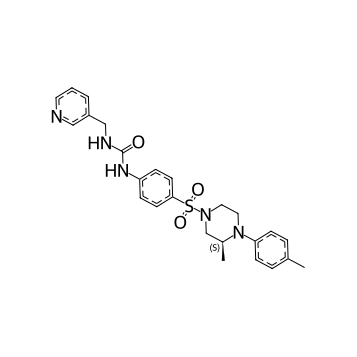 Cc1ccc(N2CCN(S(=O)(=O)c3ccc(NC(=O)NCc4cccnc4)cc3)C[C@@H]2C)cc1